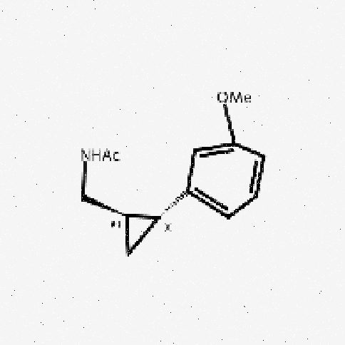 COc1cccc([C@@H]2C[C@H]2CNC(C)=O)c1